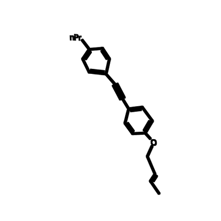 CC=CCOc1ccc(C#Cc2ccc(CCC)cc2)cc1